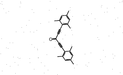 Cc1cc(C)c(C#CC(=O)C#Cc2c(C)cc(C)cc2C)c(C)c1